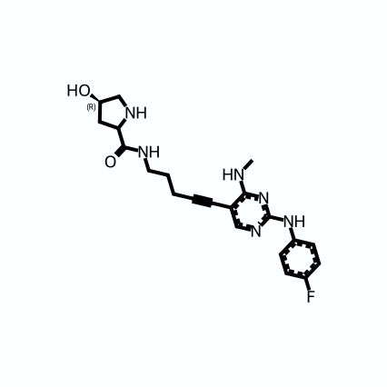 CNc1nc(Nc2ccc(F)cc2)ncc1C#CCCCNC(=O)C1C[C@@H](O)CN1